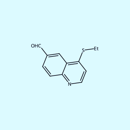 CCSc1ccnc2ccc(C=O)cc12